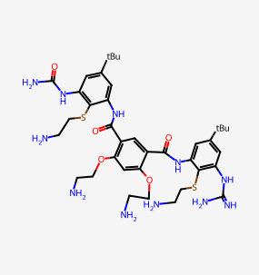 CC(C)(C)c1cc(NC(=N)N)c(SCCN)c(NC(=O)c2cc(C(=O)Nc3cc(C(C)(C)C)cc(NC(N)=O)c3SCCN)c(OCCN)cc2OCCN)c1